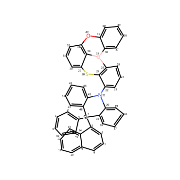 c1ccc([Si]2(c3cccc4ccccc34)c3ccccc3N(c3cccc4c3Sc3cccc5c3B4c3ccccc3O5)c3ccccc32)cc1